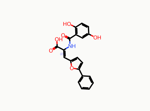 O=C(O)/C(=C/c1ccc(-c2ccccc2)o1)NC(=O)c1cc(O)ccc1O